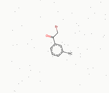 [C-]#[N+]c1cccc(C(=O)CBr)c1